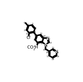 Cc1ccc(-c2cc(C(=O)O)c3c(c2)ncn3Cc2cccnc2)c(Cl)c1